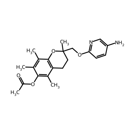 CC(=O)Oc1c(C)c(C)c2c(c1C)CCC(C)(COc1ccc(N)cn1)O2